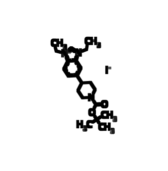 CCn1c[n+](CC)c2ccc(C3CCN(C(=O)OC(C)(C)C)CC3)cc21.[I-]